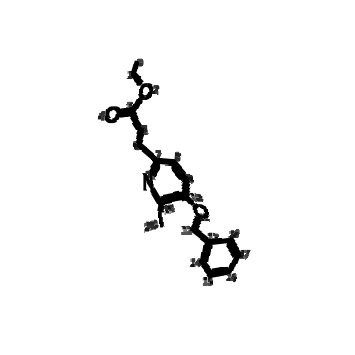 CCOC(=O)CCc1ccc(OCc2ccccc2)c(I)n1